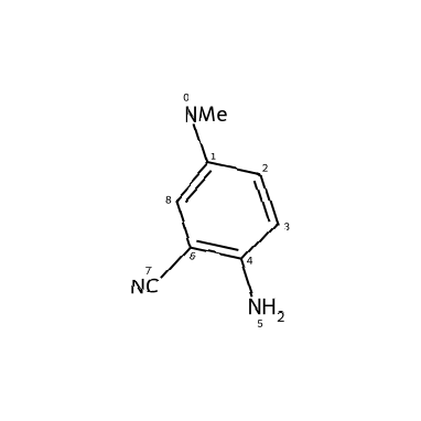 CNc1ccc(N)c(C#N)c1